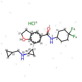 Cl.O=C(NC1CCC(F)(F)CC1)c1cc2c(c([C@@H]3C[C@H]3NCC3CC3)c1)OCC2